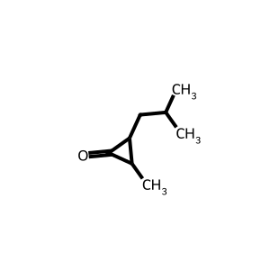 CC(C)CC1C(=O)C1C